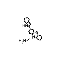 NCCCN1c2ccccc2Sc2cc(-c3cc4ccccc4[nH]3)ccc21